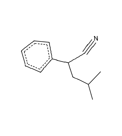 CC(C)CC(C#N)c1ccccc1